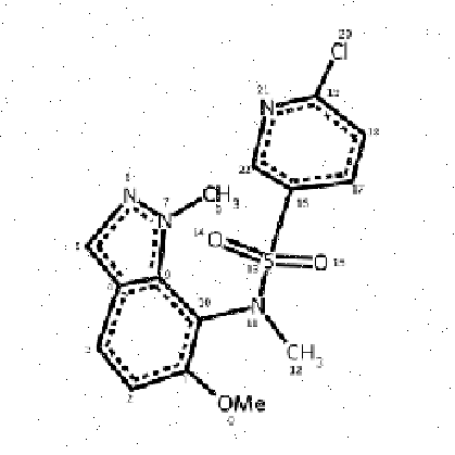 COc1ccc2cnn(C)c2c1N(C)S(=O)(=O)c1ccc(Cl)nc1